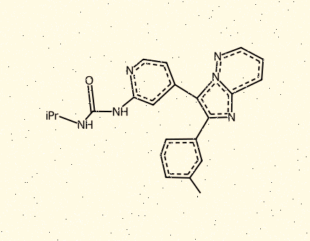 Cc1cccc(-c2nc3cccnn3c2-c2ccnc(NC(=O)NC(C)C)c2)c1